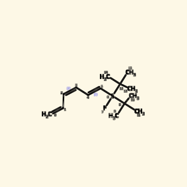 C=C/C=C\C=C\S(F)(C(C)(C)C)C(C)(C)C